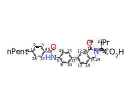 CCCCCc1ccc(C(=O)Nc2ccc(-c3ccc4c(c3)C(=O)N([C@H](C(=O)O)C(C)C)C4)cc2)cc1